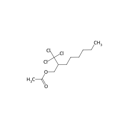 CCCCCCC(COC(C)=O)C(Cl)(Cl)Cl